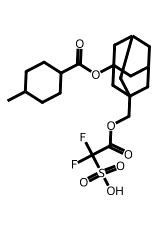 CC1CCC(C(=O)OC23CC4CC(CC(COC(=O)C(F)(F)S(=O)(=O)O)(C4)C2)C3)CC1